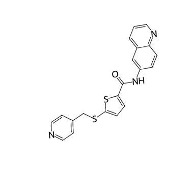 O=C(Nc1ccc2ncccc2c1)c1ccc(SCc2ccncc2)s1